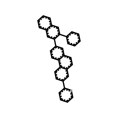 c1ccc(-c2cc3ccccc3cc2-c2ccc3c(ccc4cc(-c5ccccn5)ccc43)c2)cc1